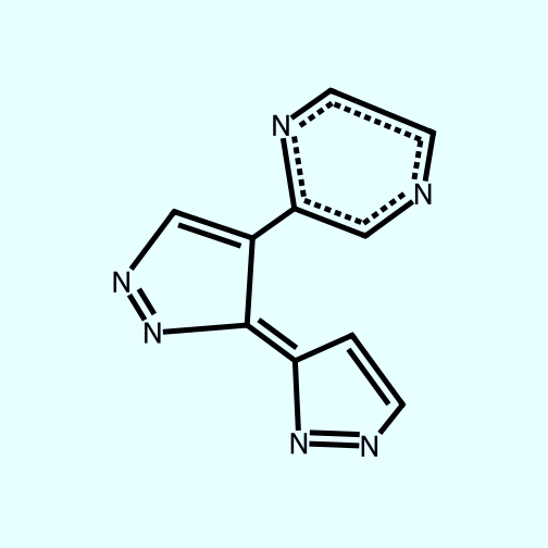 C1=CC(=C2N=NC=C2c2cnccn2)N=N1